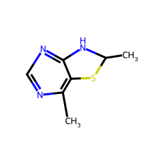 Cc1ncnc2c1SC(C)N2